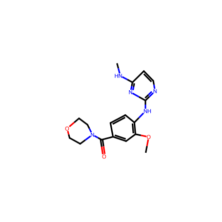 CNc1ccnc(Nc2ccc(C(=O)N3CCOCC3)cc2OC)n1